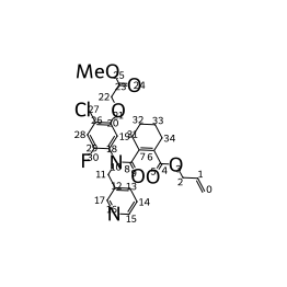 C=CCOC(=O)C1=C(C(=O)N(Cc2cccnc2)c2cc(OCC(=O)OC)c(Cl)cc2F)CCCC1